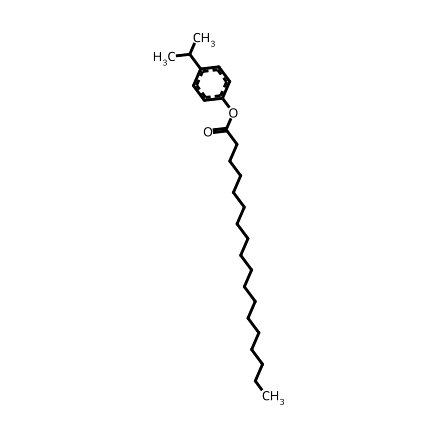 CCCCCCCCCCCCCCCCCC(=O)Oc1ccc(C(C)C)cc1